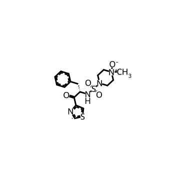 C[N+]1([O-])CCN(S(=O)(=O)N[C@@H](Cc2ccccc2)C(=O)c2cs[c]n2)CC1